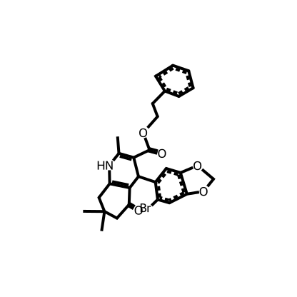 CC1=C(C(=O)OCCc2ccccc2)C(c2cc3c(cc2Br)OCO3)C2=C(CC(C)(C)CC2=O)N1